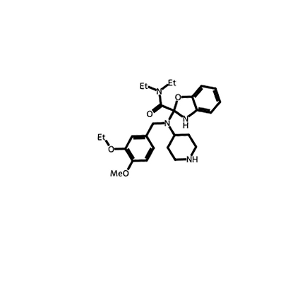 CCOc1cc(CN(C2CCNCC2)C2(C(=O)N(CC)CC)Nc3ccccc3O2)ccc1OC